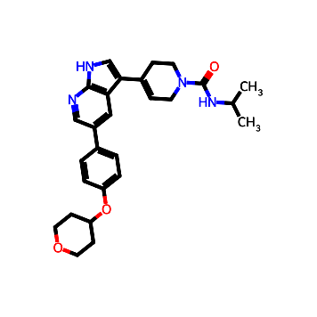 CC(C)NC(=O)N1CC=C(c2c[nH]c3ncc(-c4ccc(OC5CCOCC5)cc4)cc23)CC1